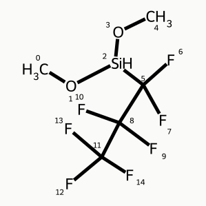 CO[SiH](OC)C(F)(F)C(F)(F)C(F)(F)F